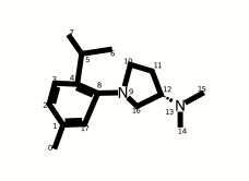 Cc1ccc(C(C)C)c(N2CC[C@H](N(C)C)C2)c1